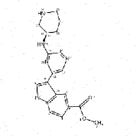 COC(=O)c1ccc2[nH]cc(-c3cncc(N[C@@H]4CCCNC4)n3)c2c1